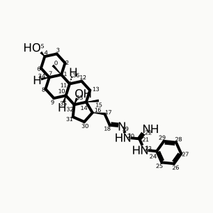 C[C@]12CC[C@H](O)C[C@H]1CC[C@@H]1[C@@H]2CC[C@]2(C)[C@@H](C/C=N/NC(=N)Nc3ccccc3)CC[C@]12O